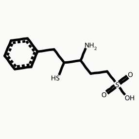 NC(CCS(=O)(=O)O)C(S)Cc1ccccc1